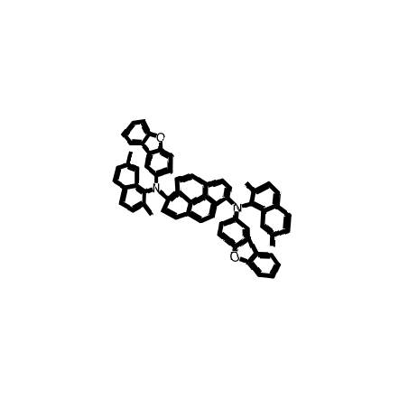 Cc1ccc2ccc(C)c(N(c3ccc4oc5ccccc5c4c3)c3ccc4ccc5c(N(c6ccc7oc8ccccc8c7c6)c6c(C)ccc7ccc(C)cc67)ccc6ccc3c4c65)c2c1